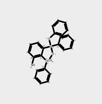 CO[Si](Oc1ccccc1)(c1ccccc1)c1cccc(S)c1Oc1ccccc1